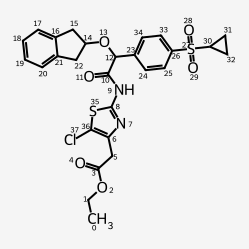 CCOC(=O)Cc1nc(NC(=O)C(OC2Cc3ccccc3C2)c2ccc(S(=O)(=O)C3CC3)cc2)sc1Cl